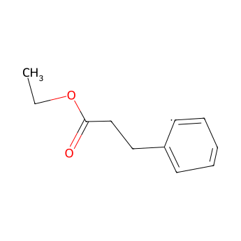 CCOC(=O)CCc1[c]cccc1